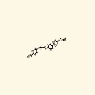 CCCCC[C@H]1CO[C@H](c2ccc(CCC=C[C@H]3CC[C@H](CCC)CC3)cc2)OC1